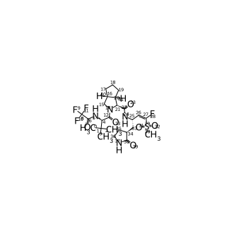 CC(C)(C)[C@@H](NC(=O)C(F)(F)F)C(=O)N1C[C@@H]2CCC[C@@H]2[C@H]1C(=O)N[C@H](/C=C(/F)S(C)(=O)=O)C[C@@H]1CCNC1=O